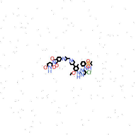 CCOc1cc(C2CCN(CC3CN(c4ccc5c(c4)C(=O)N(C4CCC(=O)NC4=O)C5=O)C3)CC2)c(C)cc1Nc1ncc(Cl)c(Nc2ccccc2S(=O)(=O)C(C)C)n1